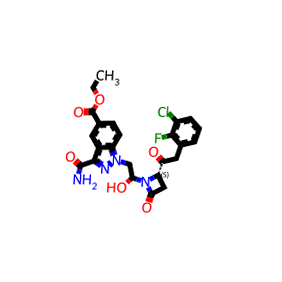 CCOC(=O)c1ccc2c(c1)c(C(N)=O)nn2CC(O)N1C(=O)C[C@H]1C(=O)Cc1cccc(Cl)c1F